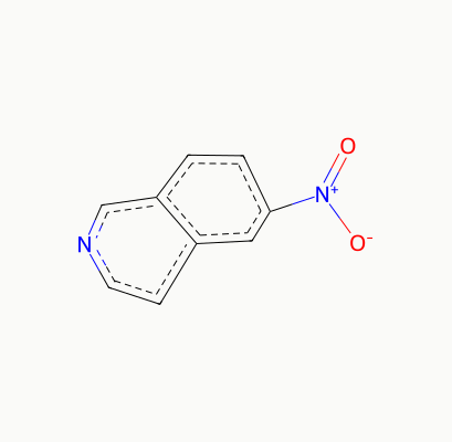 O=[N+]([O-])c1ccc2cnccc2c1